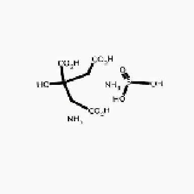 N.N.O=C(O)CC(O)(CC(=O)O)C(=O)O.O=S(O)O